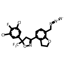 [N-]=[N+]=NCc1ccc(C2=NOC(c3cc(Cl)c(F)c(Cl)c3)(C(F)(F)F)C2)c2c1OCC2